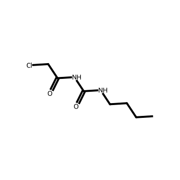 CCCCNC(=O)NC(=O)CCl